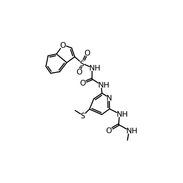 CNC(=O)Nc1cc(SC)cc(NC(=O)NS(=O)(=O)c2coc3ccccc23)n1